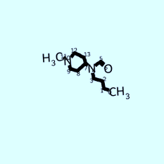 CCCCN(C=O)C1CCN(C)CC1